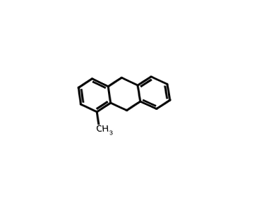 Cc1cccc2c1Cc1ccccc1C2